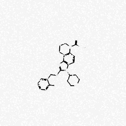 COC(=O)N1c2ccc3c(nc(CCc4ccccc4C(=O)O)n3C3CCOCC3)c2CC[C@@H]1C